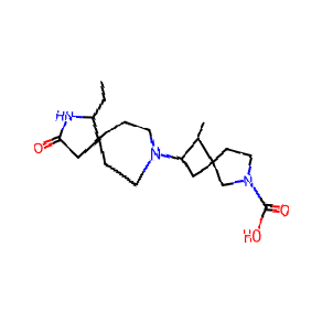 CCC1NC(=O)CC12CCN(C1CC3(CCN(C(=O)O)C3)C1C)CC2